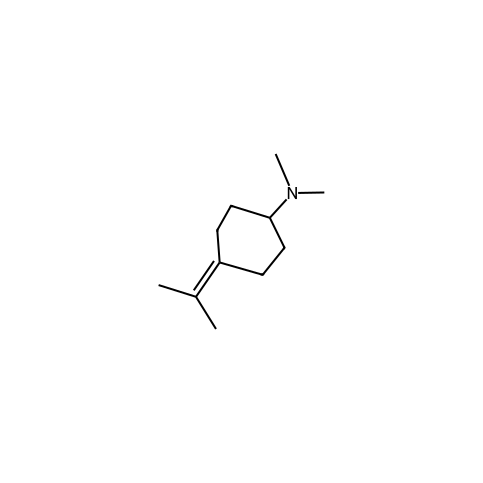 CC(C)=C1CCC(N(C)C)CC1